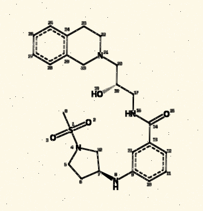 CS(=O)(=O)N1CC[C@H](Nc2cccc(C(=O)NC[C@H](O)CN3CCc4ccccc4C3)c2)C1